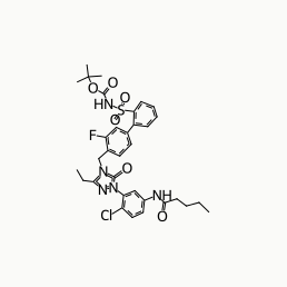 CCCCC(=O)Nc1ccc(Cl)c(-n2nc(CC)n(Cc3ccc(-c4ccccc4S(=O)(=O)NC(=O)OC(C)(C)C)cc3F)c2=O)c1